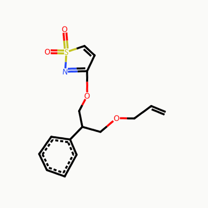 C=CCOCC(COC1=NS(=O)(=O)C=C1)c1ccccc1